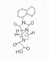 O=C(O)C(=O)N1C[C@@H]2C[C@H]1[C@H]1C(=O)N(c3cccc4ccccc34)C(=O)N21